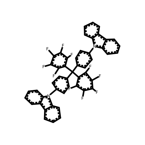 Fc1c(F)c(F)c(C(c2ccc(-n3c4ccccc4c4ccccc43)cc2)(c2ccc(-n3c4ccccc4c4ccccc43)cc2)c2c(F)c(F)c(F)c(F)c2F)c(F)c1F